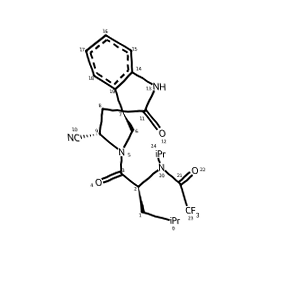 CC(C)C[C@@H](C(=O)N1C[C@]2(C[C@H]1C#N)C(=O)Nc1ccccc12)N(C(=O)C(F)(F)F)C(C)C